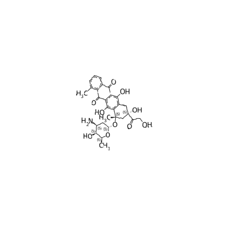 Cc1cccc2c1C(=O)c1c(O)c3c(c(O)c1C2=O)C[C@@](O)(C(=O)CO)C[C@]3(C)O[C@H]1C[C@H](N)[C@H](O)[C@H](C)O1